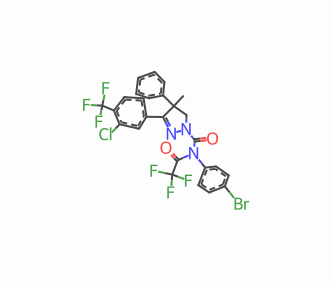 CC1(c2ccccc2)CN(C(=O)N(C(=O)C(F)(F)F)c2ccc(Br)cc2)N=C1c1ccc(C(F)(F)F)c(Cl)c1